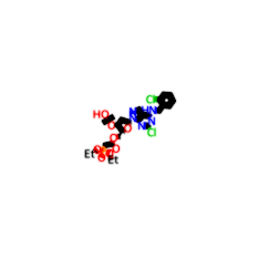 CCOP(=O)(CC(=O)OC[C@H]1O[C@@H](n2ncc3c(NCc4ccccc4Cl)nc(Cl)nc32)C[C@@H]1OC(C)(C)O)OCC